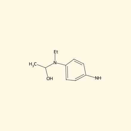 CCN(c1ccc([NH])cc1)C(C)O